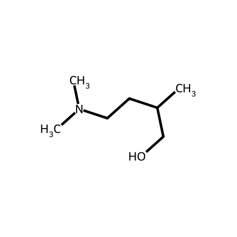 CC(CO)CCN(C)C